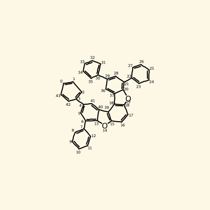 c1ccc(-c2cc(-c3ccccc3)c3oc4ccc5oc6c(-c7ccccc7)cc(-c7ccccc7)cc6c5c4c3c2)cc1